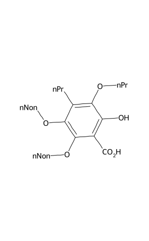 CCCCCCCCCOc1c(CCC)c(OCCC)c(O)c(C(=O)O)c1OCCCCCCCCC